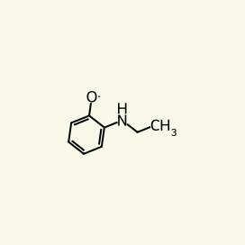 CCNc1ccccc1[O]